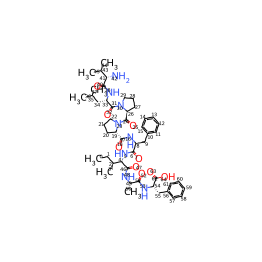 CC[C@H](C)[C@H](NC(=O)[C@H](Cc1ccccc1)NC(=O)[C@@H]1CCCN1C(=O)[C@@H]1CCCN1C(=O)[C@H](CC(C)C)NC(=O)[C@@H](N)C(C)C)C(=O)N[C@@H](C)C(=O)N[C@@H](Cc1ccccc1)C(=O)O